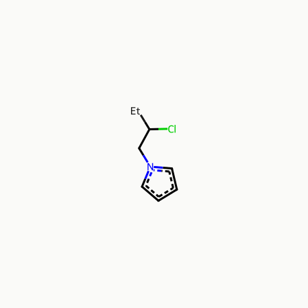 CCC(Cl)Cn1cccc1